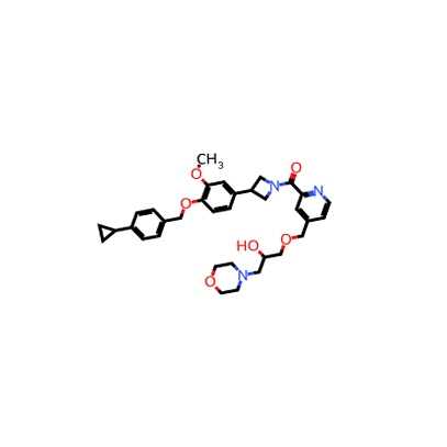 COc1cc(C2CN(C(=O)c3cc(COCC(O)CN4CCOCC4)ccn3)C2)ccc1OCc1ccc(C2CC2)cc1